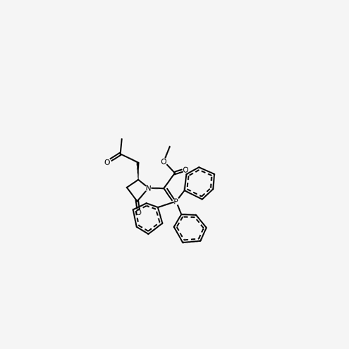 COC(=O)C(N1C(=O)C[C@H]1CC(C)=O)=P(c1ccccc1)(c1ccccc1)c1ccccc1